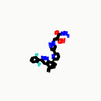 CC1(C)[C@H]2CC[C@]1(c1cccc(-c3cnn(C[C@@H](O)C(N)=O)c3)n1)c1nnc(-c3c(F)cccc3F)cc12